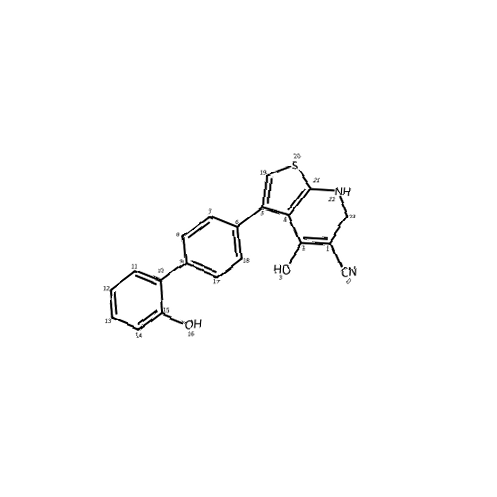 N#CC1=C(O)c2c(-c3ccc(-c4ccccc4O)cc3)csc2NC1